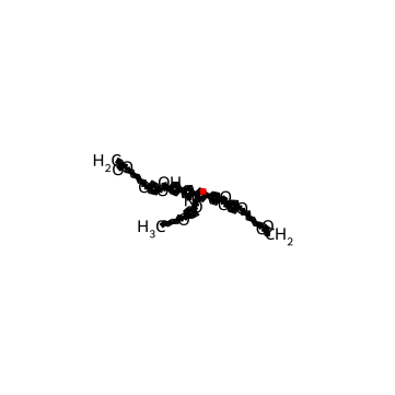 C=CC(=O)OCCCCCCOc1ccc(OC(=O)c2ccc(-c3ccc4c(c3)c(Oc3ccc(OCCCCCC)cc3)nc3cc(-c5ccc(C(O)Oc6ccc(OCCCCCCOC(=O)C=C)cc6)cc5)ccc34)cc2)cc1